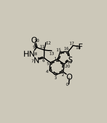 COc1ccc(C2=NNC(=O)C2(C)C)c2cc(CF)sc12